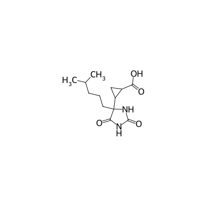 CC(C)CCCC1(C2CC2C(=O)O)NC(=O)NC1=O